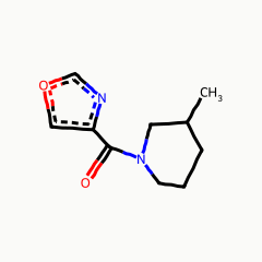 CC1CCCN(C(=O)c2cocn2)C1